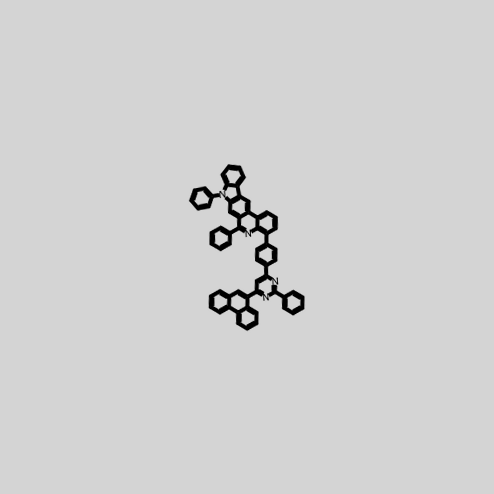 c1ccc(-c2nc(-c3ccc(-c4cccc5c4nc(-c4ccccc4)c4cc6c(cc45)c4ccccc4n6-c4ccccc4)cc3)cc(-c3cc4ccccc4c4ccccc34)n2)cc1